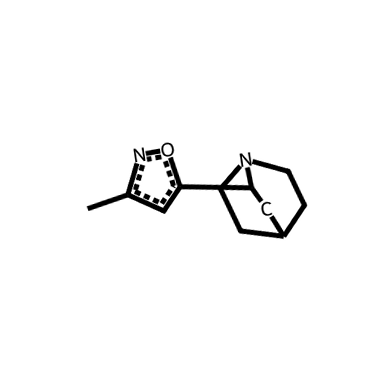 Cc1cc(C2CC3CCN2CC3)on1